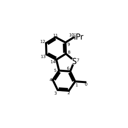 Cc1cccc2c1sc1c(C(C)C)cccc12